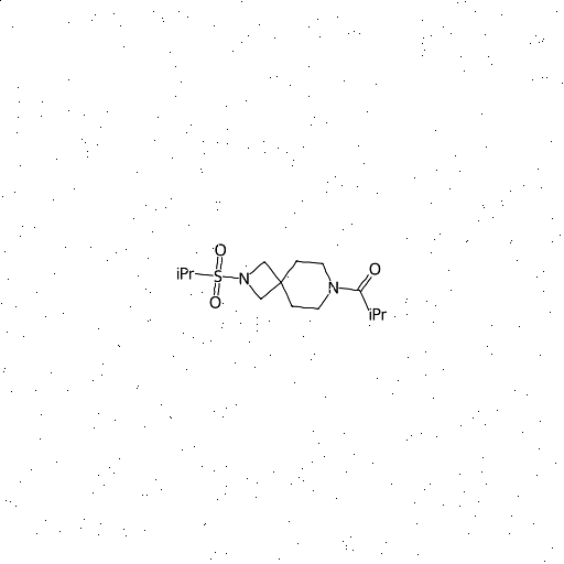 CC(C)C(=O)N1CCC2(CC1)CN(S(=O)(=O)C(C)C)C2